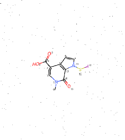 Cn1cc(C(=O)O)c2ccn(SI)c2c1=O